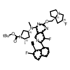 C#Cc1c(F)ccc2cccc(-c3ncc4c(N(C)[C@@H]5C[C@H](C)N(C(=O)OC(C)(C)C)C5)nc(OC[C@@]56CCCN5C[C@H](F)C6)nc4c3F)c12